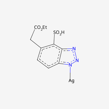 CCOC(=O)Cc1ccc2c(nn[n]2[Ag])c1S(=O)(=O)O